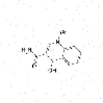 CCCN1C=C(C(N)=O)C(O)c2ccccc21